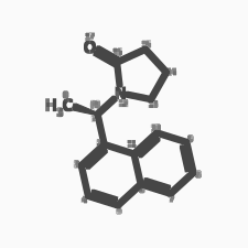 C[C@H](c1cccc2ccccc12)N1CCCC1=O